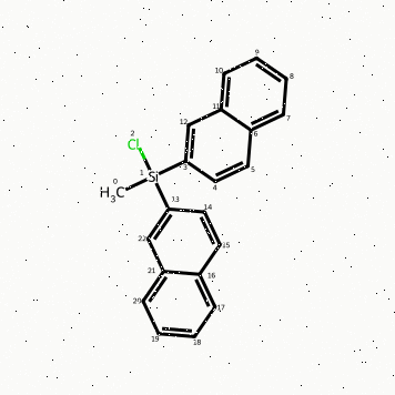 C[Si](Cl)(c1ccc2ccccc2c1)c1ccc2ccccc2c1